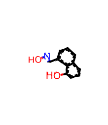 O/N=C/c1cccc2cccc(O)c12